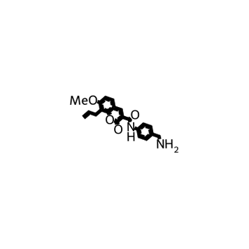 C=CCc1c(OC)ccc2cc(C(=O)Nc3ccc(CN)cc3)c(=O)oc12